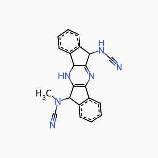 CN(C#N)C1C2=C(N=C3C(NC#N)c4ccccc4C3N2)c2ccccc21